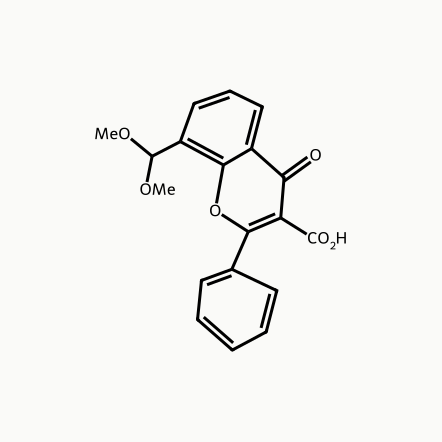 COC(OC)c1cccc2c(=O)c(C(=O)O)c(-c3ccccc3)oc12